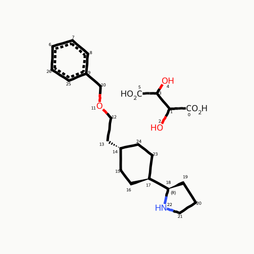 O=C(O)C(O)C(O)C(=O)O.c1ccc(COCC[C@H]2CC[C@H]([C@H]3CCCN3)CC2)cc1